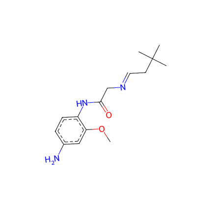 COc1cc(N)ccc1NC(=O)C/N=C/CC(C)(C)C